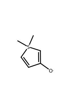 CS1(C)C=CC([O])=C1